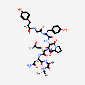 CCC(C)[C@H](NC(=O)[C@@H](NC(=O)[C@H](CC(N)=O)NC(=O)[C@H](CCC(N)=O)NC(=O)C1CCCN1C(=O)[C@@H](NC(=O)[C@H](Cc1ccc(O)cc1)NC(=O)CNC(=O)[C@@H](C)Cc1ccc(O)cc1)C(C)O)C(C)C)C(C)=O